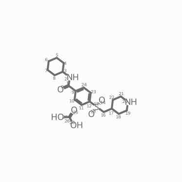 O=C(NC1CCCCC1)c1ccc(S(=O)(=O)CC2CCNCC2)cc1.O=C(O)O